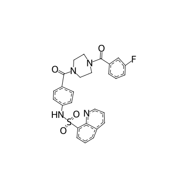 O=C(c1ccc(NS(=O)(=O)c2cccc3cccnc23)cc1)N1CCN(C(=O)c2cccc(F)c2)CC1